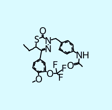 CCC1SC(=O)N(Cc2ccc(NC(C)=O)cc2)N=C1c1ccc(OC)c(OC(F)(F)F)c1